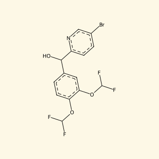 OC(c1ccc(OC(F)F)c(OC(F)F)c1)c1ccc(Br)cn1